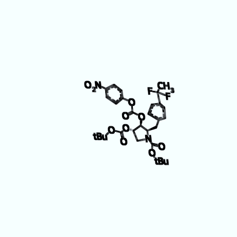 CC(C)(C)OC(=O)O[C@H]1CN(C(=O)OC(C)(C)C)[C@H](Cc2ccc(C(C)(F)F)cc2)[C@@H]1OC(=O)Oc1ccc([N+](=O)[O-])cc1